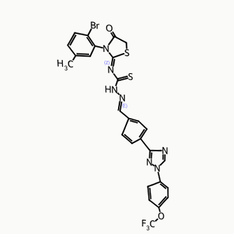 Cc1ccc(Br)c(N2C(=O)CS/C2=N\C(=S)N/N=C/c2ccc(-c3ncn(-c4ccc(OC(F)(F)F)cc4)n3)cc2)c1